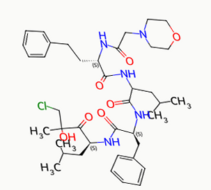 CC(C)CC(NC(=O)[C@H](CCc1ccccc1)NC(=O)CN1CCOCC1)C(=O)N[C@@H](Cc1ccccc1)C(=O)N[C@@H](CC(C)C)C(=O)C(C)(O)CCl